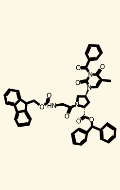 Cc1cn([C@H]2C[C@H](C(=O)OC(c3ccccc3)c3ccccc3)N(C(=O)CNC(=O)OCC3c4ccccc4-c4ccccc43)C2)c(=O)n(C(=O)c2ccccc2)c1=O